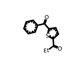 CCC(=O)c1ccc(C(=O)c2ccccc2)s1